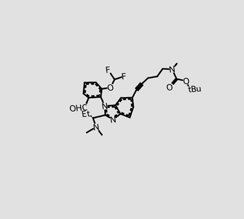 CC[C@H](c1nc2ccc(C#CCCCN(C)C(=O)OC(C)(C)C)cc2n1-c1c(C=O)cccc1OC(F)F)N(C)C